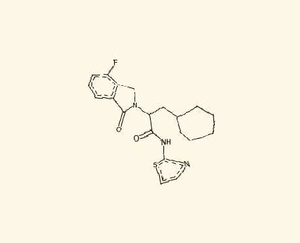 O=C(Nc1nccs1)C(CC1CCCCC1)N1Cc2c(F)cccc2C1=O